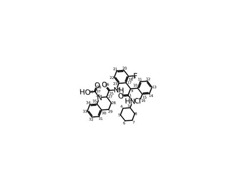 O=C(NC1CCCCC1)C(c1ccccc1Cl)c1c(F)cccc1NC(=O)C1CCc2ccccc2N1C(=O)O